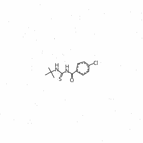 CC(C)(C)NC(=S)NC(=O)c1ccc(Cl)cc1